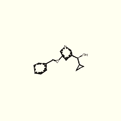 O[C@H](c1cncc(OCc2ccccc2)c1)C1CC1